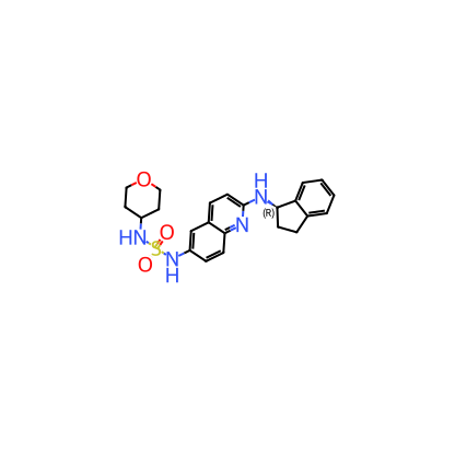 O=S(=O)(Nc1ccc2nc(N[C@@H]3CCc4ccccc43)ccc2c1)NC1CCOCC1